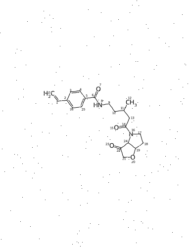 C=Cc1ccc(C(=O)NCCC(C)CC(=O)N2CCC3OCC(=O)C32)cc1